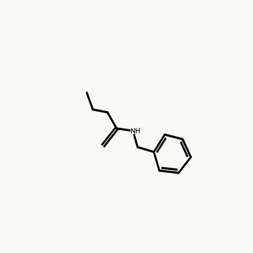 C=C(CCC)NCc1ccccc1